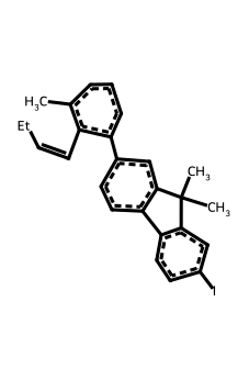 CC/C=C\c1c(C)cccc1-c1ccc2c(c1)C(C)(C)c1cc(I)ccc1-2